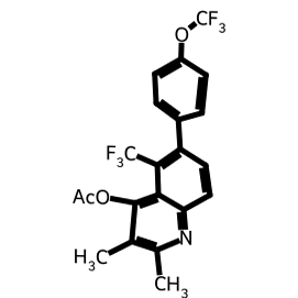 CC(=O)Oc1c(C)c(C)nc2ccc(-c3ccc(OC(F)(F)F)cc3)c(C(F)(F)F)c12